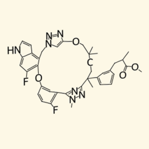 COC(=O)C(C)Cc1cccc(C2(C)CCC(C)(C)COc3cn(nn3)Cc3c(c(F)cc4[nH]ccc34)Oc3ccc(F)c(c3)-c3nc2nn3C)c1